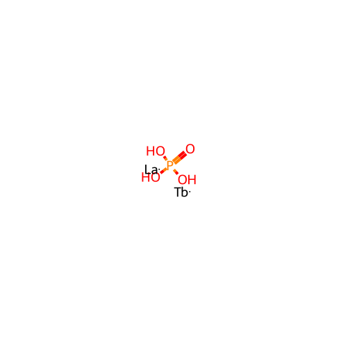 O=P(O)(O)O.[La].[Tb]